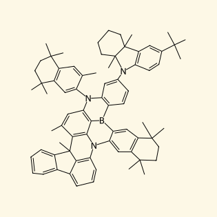 Cc1cc2c(cc1N1c3cc(N4c5ccc(C(C)(C)C)cc5C5(C)CCCCC45C)ccc3B3c4cc5c(cc4N4c6cccc7c6C(C)(c6ccccc6-7)c6c(C)cc1c3c64)C(C)(C)CCC5(C)C)C(C)(C)CCC2(C)C